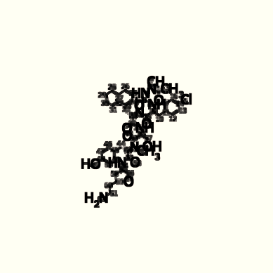 CC(=O)N(C)NC(=O)N[C@@H](Cc1ccc(Cl)cc1)C(=O)N[C@@H](Cc1cccc2ccccc12)C(=O)N[C@@H](CO)C(=O)N(C)[C@@H](Cc1ccc(O)cc1)C(=O)N[C@@H]([C]=O)CCCCN